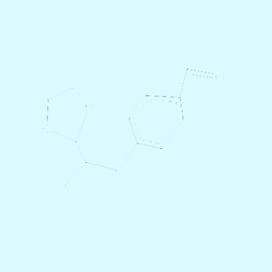 C=Cc1ccc(OC(C)C2OCCO2)cc1